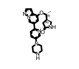 C[C@@H](Oc1cc(-c2ccc(N3CCNCC3)cn2)cn2nccc12)[C@H]1CNC(=O)C1